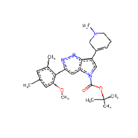 COc1cc(C)cc(C)c1-c1cc2c(nn1)c(C1=CCCN(C)C1)cn2C(=O)OC(C)(C)C